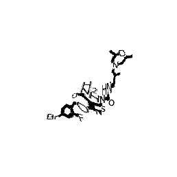 CC(CNC(=O)Nc1snc(OCc2ccc(Br)cc2F)c1C(N)=O)CN1CC(C)OC(C)C1